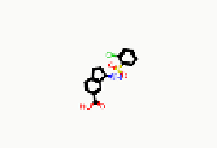 O=C(O)c1ccc2c(c1)[C@H](NS(=O)(=O)c1ccccc1Cl)CC2